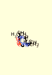 CC(C)(C)c1ccnc(C2CC[C@H]3CCN(C3)c3nc(C(C)(C)C)ccc3C(=O)NS(=O)(=O)c3cccc(n3)N2)c1